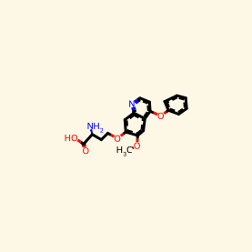 COc1cc2c(Oc3ccccc3)ccnc2cc1OCC[C@H](N)C(=O)O